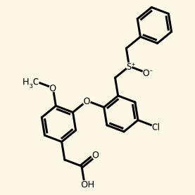 COc1ccc(CC(=O)O)cc1Oc1ccc(Cl)cc1C[S+]([O-])Cc1ccccc1